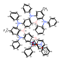 Cc1cc2c3c(c1)N(c1ccccc1)c1cc4c(cc1B3c1ccccc1N2c1ccccc1)B1c2cc3c(cc2N(c2ccccc2)c2cc(C(F)(F)F)cc(c21)N4c1ccccc1)N(c1ccccc1)c1cc(C(F)(F)F)cc2c1B3c1ccccc1N2c1ccccc1